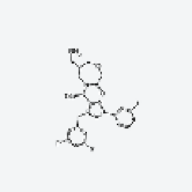 CC(C)(C)[C@H](c1nc(-c2cccc(F)c2)cn1Cc1cc(F)cc(F)c1)N1C[C@@H](CN)COCC1=O